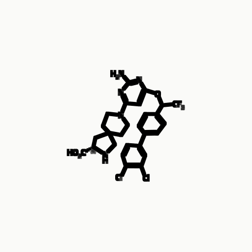 Nc1nc(OC(c2ccc(-c3ccc(Cl)c(Cl)c3)cc2)C(F)(F)F)cc(N2CCC3(CC2)CN[C@H](C(=O)O)C3)n1